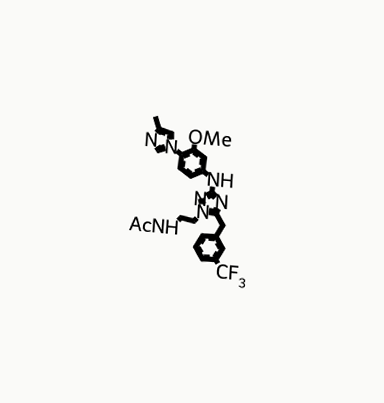 COc1cc(Nc2nc(Cc3cccc(C(F)(F)F)c3)n(CCNC(C)=O)n2)ccc1-n1cnc(C)c1